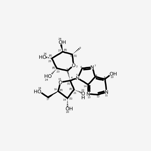 C[C@@H]1OC([C@@]2(n3cnc4c(O)ncnc43)O[C@H](CO)[C@@H](O)[C@H]2O)[C@H](O)[C@H](O)[C@H]1O